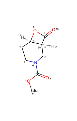 CC(C)(C)OC(=O)N1CC[C@H]2OC(=O)[C@H]2C1